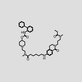 CCC(=O)N(C)CCCN1CCc2cc(NCCCCCC(=O)N(C)CCN3CCC(OC(=O)Nc4ccccc4-c4ccccc4)CC3)ccc2C1=O